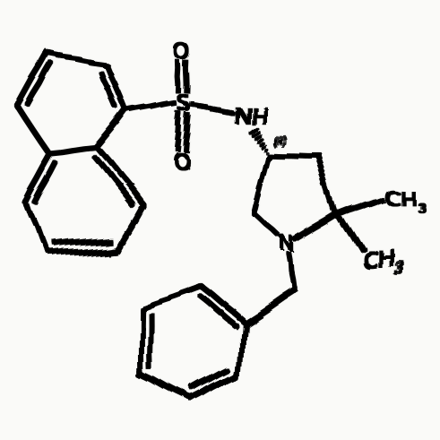 CC1(C)C[C@@H](NS(=O)(=O)c2cccc3ccccc23)CN1Cc1ccccc1